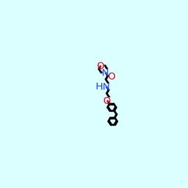 O=C(CCNCCCOc1ccc(Cc2ccccc2)cc1)N1CCOCC1